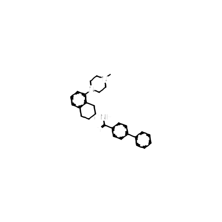 CN1CCN(c2cccc3c2C[C@H](NC(=O)c2ccc(-c4ccccc4)cc2)CC3)CC1